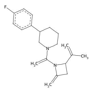 C=C(C)C1CC(=C)N1C(=C)N1CCCC(c2ccc(F)cc2)C1